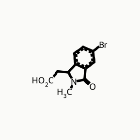 CN1C(=O)c2cc(Br)ccc2C1CC(=O)O